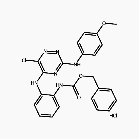 COc1ccc(Nc2nnc(Cl)c(Nc3ccccc3NC(=O)OCc3ccccc3)n2)cc1.Cl